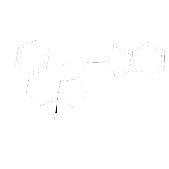 c1cnc2c(c1)CC[C@H]1CCN(Cc3nc4ccccc4[nH]3)[C@H]21